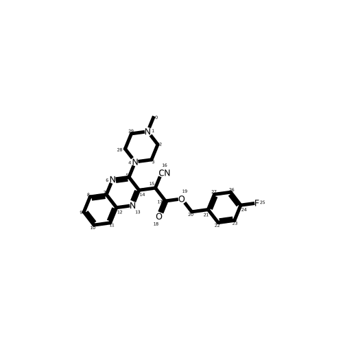 CN1CCN(c2nc3ccccc3nc2C(C#N)C(=O)OCc2ccc(F)cc2)CC1